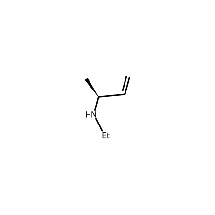 C=C[C@H](C)NCC